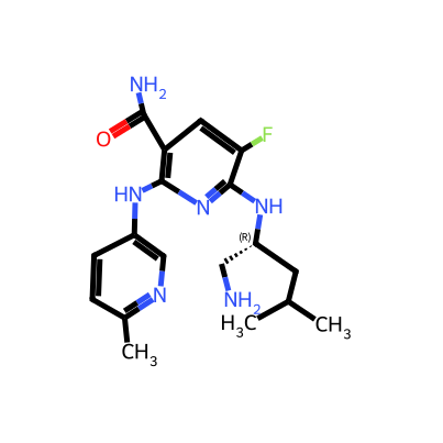 Cc1ccc(Nc2nc(N[C@@H](CN)CC(C)C)c(F)cc2C(N)=O)cn1